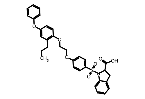 CCCc1cc(Oc2ccccc2)ccc1OCCOc1ccc(S(=O)(=O)N2c3ccccc3CC2C(=O)O)cc1